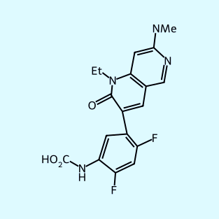 CCn1c(=O)c(-c2cc(NC(=O)O)c(F)cc2F)cc2cnc(NC)cc21